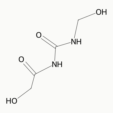 O=C(CO)NC(=O)NCO